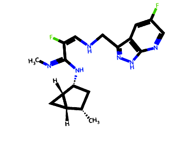 C/N=C(N[C@@H]1C[C@H](C)[C@@H]2C[C@@H]21)\C(F)=C/NCc1n[nH]c2ncc(F)cc12